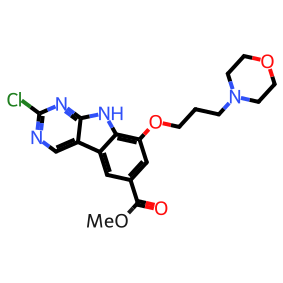 COC(=O)c1cc(OCCCN2CCOCC2)c2[nH]c3nc(Cl)ncc3c2c1